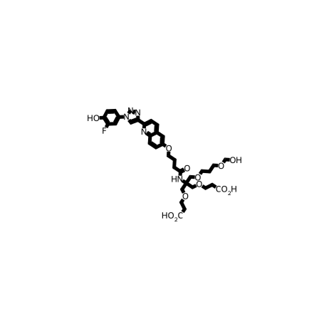 O=C(O)CCOCC(COCCCOCO)(COCCC(=O)O)NC(=O)CCCOc1ccc2nc(-c3cn(-c4ccc(O)c(F)c4)nn3)ccc2c1